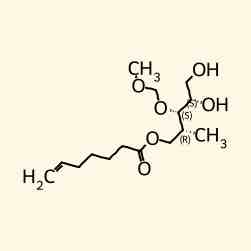 C=CCCCCC(=O)OC[C@@H](C)[C@H](OCOC)[C@@H](O)CO